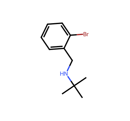 CC(C)(C)NCc1ccccc1Br